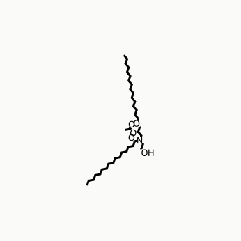 CCCCCCCCCCCCCCCCOCC(CN(CCO)C(=O)CCCCCCCCCCCCCCC)OC(C)=O